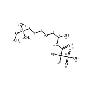 CO[Si](C)(C)CCCOCC(O)OC(=O)C(F)(F)S(=O)(=O)O